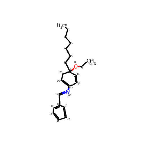 CCCCCCCC1(OCC)C=CC(N=Cc2ccccc2)=CC1